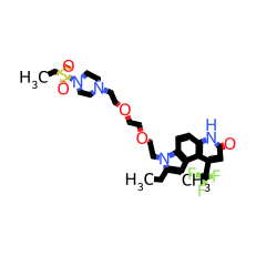 CCc1c(C)c2c3c(C(F)(F)F)cc(=O)[nH]c3ccc2n1CCOCCOCCN1CCN(S(=O)(=O)CC)CC1